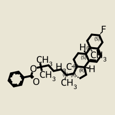 C[C@H](CCCC(C)(C)OC(=O)c1ccccc1)[C@H]1CC[C@H]2C3=CC=C4C[C@@H](F)CC[C@]4(C)[C@H]3CC[C@]12C